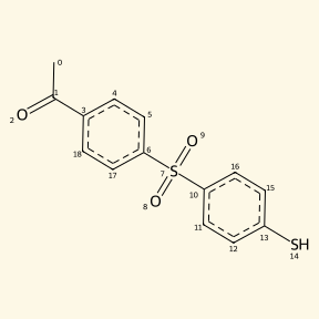 CC(=O)c1ccc(S(=O)(=O)c2ccc(S)cc2)cc1